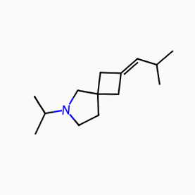 CC(C)C=C1CC2(CCN(C(C)C)C2)C1